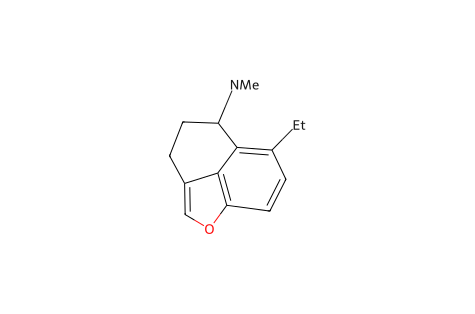 CCc1ccc2occ3c2c1C(NC)CC3